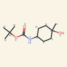 CC1(O)CCC(NC(=O)OC(C)(C)C)CC1